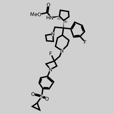 COC(=O)N[C@H]1CCC[C@@H]1C(CN1CCC1)(c1cccc(F)c1)C1CCN(CC2(F)CN(c3ccc(S(=O)(=O)C4CC4)cc3)C2)CC1